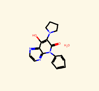 O.O=c1c(N2CCCC2)c(O)c2nccnc2n1-c1ccccc1